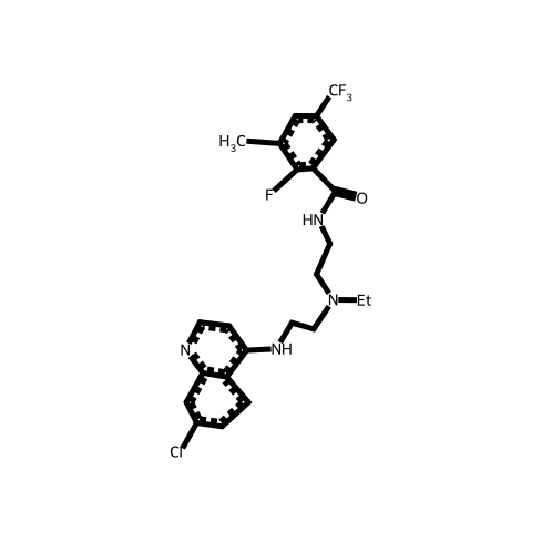 CCN(CCNC(=O)c1cc(C(F)(F)F)cc(C)c1F)CCNc1ccnc2cc(Cl)ccc12